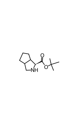 CC(C)(C)OC(=O)[C@H]1NCC2CCCC21